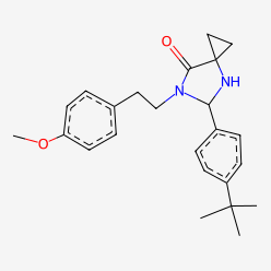 COc1ccc(CCN2C(=O)C3(CC3)NC2c2ccc(C(C)(C)C)cc2)cc1